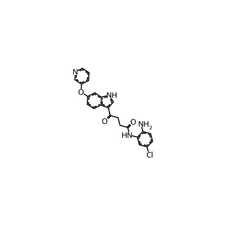 Nc1ccc(Cl)cc1NC(=O)CCC(=O)c1c[nH]c2cc(Oc3cccnc3)ccc12